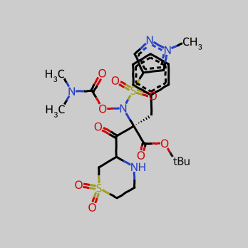 CN(C)C(=O)ON([C@@](Cc1ccccc1)(C(=O)OC(C)(C)C)C(=O)C1CS(=O)(=O)CCN1)S(=O)(=O)c1cnn(C)c1